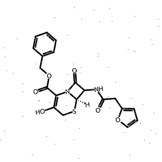 O=C(Cc1ccco1)NC1C(=O)N2C(C(=O)OCc3ccccc3)=C(O)CS[C@H]12